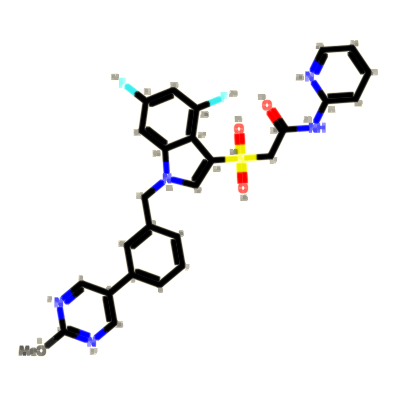 COc1ncc(-c2cccc(Cn3cc(S(=O)(=O)CC(=O)Nc4ccccn4)c4c(F)cc(F)cc43)c2)cn1